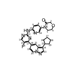 O=C1COCCN1c1ccc(Nc2ncc(F)c(-c3ccn4ncc(C5CCCC5)c4c3)n2)nc1